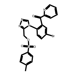 Cc1ccc(S(=O)(=O)OCc2nncn2-c2ccc(Br)cc2C(=O)c2ccccn2)cc1